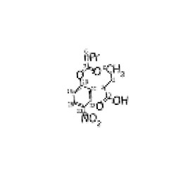 CCCC(=O)O.CCCC(=O)Oc1ccc([N+](=O)[O-])cc1